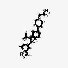 Cc1cc(-c2[nH]c3ccc(C4CCN(CC(N)=O)CC4)cc3c2C(C)C)cc2cnnn12